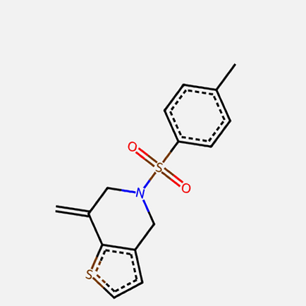 C=C1CN(S(=O)(=O)c2ccc(C)cc2)Cc2ccsc21